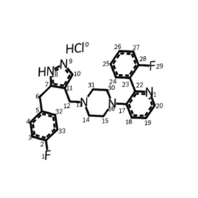 Cl.Fc1ccc(Cc2[nH]ncc2CN2CCN(c3cccnc3-c3ccccc3F)CC2)cc1